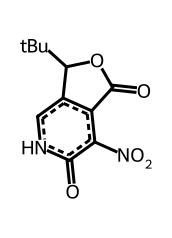 CC(C)(C)C1OC(=O)c2c1c[nH]c(=O)c2[N+](=O)[O-]